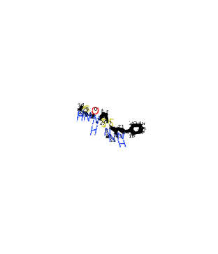 O=C(Nc1ccc(Sc2ncnc3[nH]c(-c4ccccc4)cc23)s1)Nc1nccs1